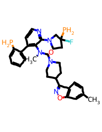 Cc1ccc2c(C3CCN(C(=O)N(C)c4c(-c5ccccc5P)ccnc4N4CCC(F)(P)C4)CC3)noc2c1